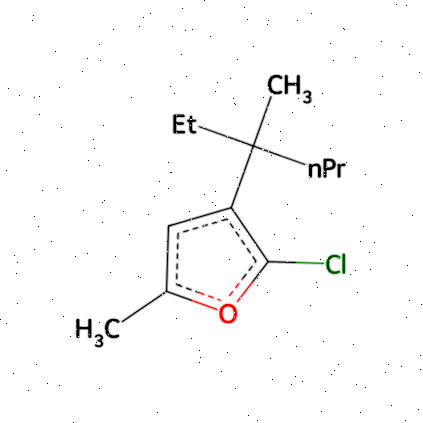 CCCC(C)(CC)c1cc(C)oc1Cl